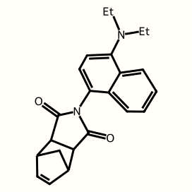 CCN(CC)c1ccc(N2C(=O)C3C4C=CC(C4)C3C2=O)c2ccccc12